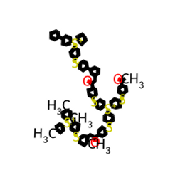 CC(=O)c1ccc(Sc2ccc([S+](c3ccc(Sc4ccc(C(=O)Cc5cccc(-c6ccc(Sc7ccc([S+](c8ccccc8)c8ccc(-c9ccccc9)cc8)cc7)cc6)c5)cc4)cc3)c3ccc(Sc4ccc(C(=O)Cc5cc(Sc6ccc(C)c([S+](c7ccc(C)cc7)c7ccc(C)cc7)c6)ccc5C)cc4)cc3)cc2)cc1